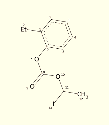 CCc1ccccc1OC(=O)OC(C)I